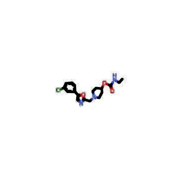 CCNC(=O)OC1CCN(Cc2ncc(-c3cccc(Cl)c3)o2)CC1